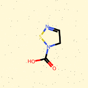 O=C(O)N1CC=NS1